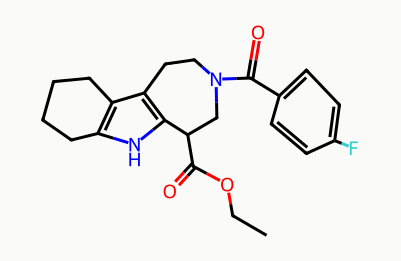 CCOC(=O)C1CN(C(=O)c2ccc(F)cc2)CCc2c1[nH]c1c2CCCC1